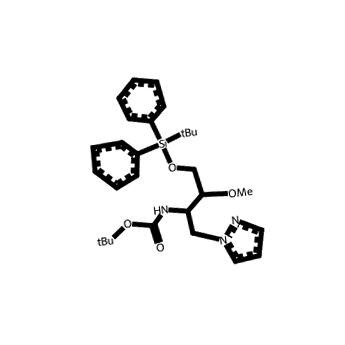 COC(CO[Si](c1ccccc1)(c1ccccc1)C(C)(C)C)C(Cn1cccn1)NC(=O)OC(C)(C)C